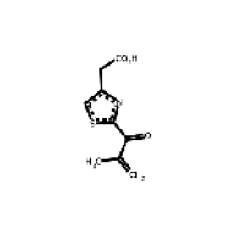 C=C(C)C(=O)c1nc(CC(=O)O)cs1